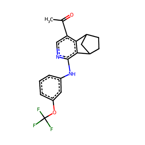 CC(=O)c1cnc(Nc2cccc(OC(F)(F)F)c2)c2c1C1CCC2C1